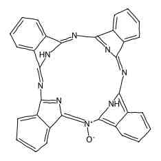 [O-][n+]1c2nc(nc3[nH]c(nc4nc(nc5[nH]c1c1ccccc51)-c1ccccc1-4)c1ccccc31)-c1ccccc1-2